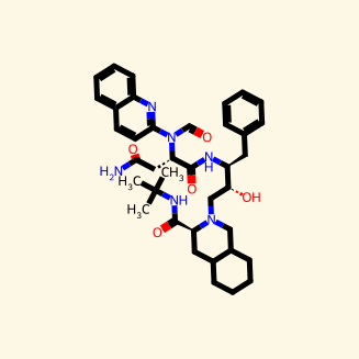 CC(C)(C)NC(=O)[C@@H]1CC2CCCCC2CN1C[C@@H](O)[C@H](Cc1ccccc1)NC(=O)[C@H](CC(N)=O)N(C=O)c1ccc2ccccc2n1